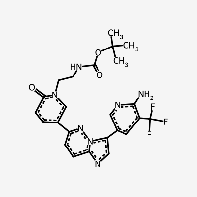 CC(C)(C)OC(=O)NCCn1cc(-c2ccc3ncc(-c4cnc(N)c(C(F)(F)F)c4)n3n2)ccc1=O